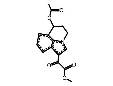 COC(=O)C(=O)c1cn2c3c(cccc13)C(OC(C)=O)CC2